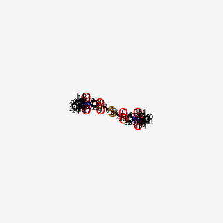 O=C(CCSSCCC(=O)Oc1ccc(N2C(=O)[C@@H]3C4C=CC5C4C5[C@@H]3C2=O)cc1)Oc1ccc(N2C(=O)[C@@H]3C4C=CC(C4)[C@@H]3C2=O)cc1